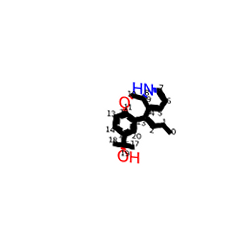 CC/C=C1\C2=CC=CNC2COc2ccc(C(C)(C)O)cc21